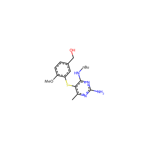 CCCCNc1nc(N)nc(C)c1Sc1cc(CO)ccc1OC